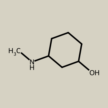 CNC1CCCC(O)C1